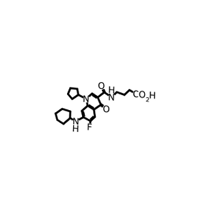 O=C(O)CCCNC(=O)c1cn(C2CCCC2)c2cc(NC3CCCCC3)c(F)cc2c1=O